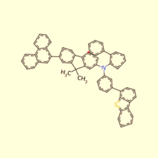 CC1(C)c2cc(-c3cc4ccccc4c4ccccc34)ccc2-c2ccc(N(c3cccc(-c4cccc5c4sc4ccccc45)c3)c3ccccc3-c3ccccc3)cc21